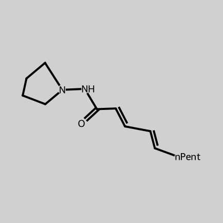 CCCCCC=CC=CC(=O)NN1CCCC1